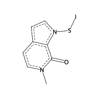 Cn1ccc2ccn(SI)c2c1=O